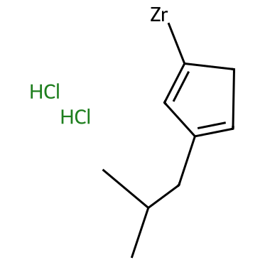 CC(C)CC1=CC[C]([Zr])=C1.Cl.Cl